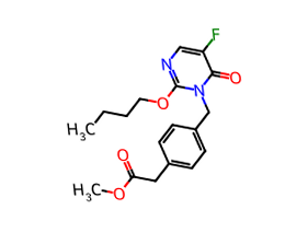 CCCCOc1ncc(F)c(=O)n1Cc1ccc(CC(=O)OC)cc1